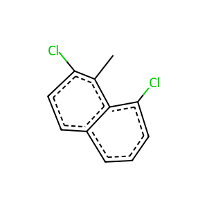 Cc1c(Cl)ccc2cccc(Cl)c12